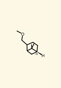 COCC1CC[C@@H]2CC1C2(C)C